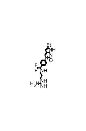 CCc1cc2cn(-c3ccc(C(NCCCNC(=N)N)C(F)F)cc3)c(=O)nc2[nH]1